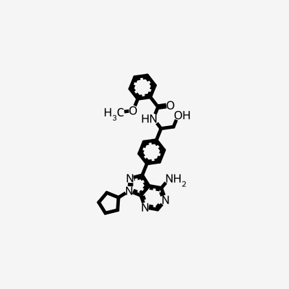 COc1ccccc1C(=O)NC(CO)c1ccc(-c2nn(C3CCCC3)c3ncnc(N)c23)cc1